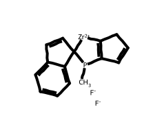 CP1C2=[C](CC=C2)[Zr+2][C]12C=Cc1ccccc12.[F-].[F-]